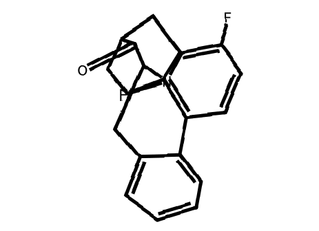 O=C1C2CCN(CC2)C1Cc1ccccc1-c1ccc(F)cc1F